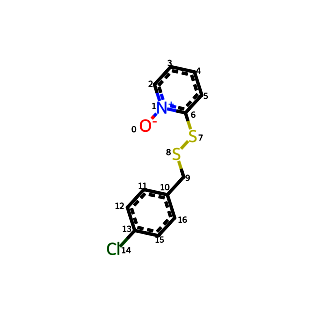 [O-][n+]1ccccc1SSCc1ccc(Cl)cc1